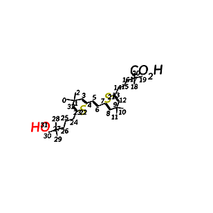 CC1(C)C=C(C=CC2=CC(C)(C)C=C(CCCC(C)(C)C(=O)O)S2)SC(CCCC(C)(C)CO)=C1